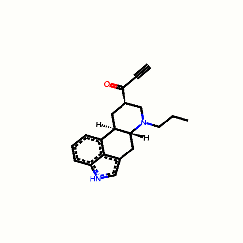 C#CC(=O)[C@@H]1C[C@@H]2c3cccc4[nH]cc(c34)C[C@H]2N(CCC)C1